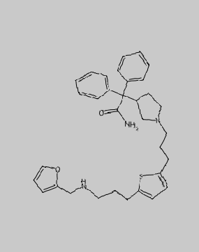 NC(=O)C(c1ccccc1)(c1ccccc1)C1CCN(CCCc2ccc(CCCNCc3ccco3)s2)C1